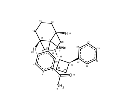 COC1(c2ccnc(C(N)=O)c2)[C@@H]2CCC[C@H]1CN([C@H]1CC[C@@H]1c1ccccc1)C2